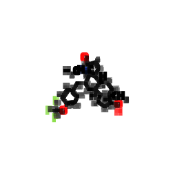 CN1C(=O)C=C[C@@]2(C)C1C(Cc1ccc(OC(F)(F)F)cc1)C[C@@H]1[C@H]2CC[C@]2(C)C(O)CC[C@@H]12